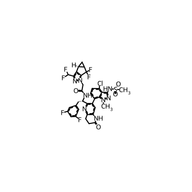 Cn1nc(NS(C)(=O)=O)c2c(Cl)ccc(-c3cc4c(nc3[C@H](Cc3cc(F)cc(F)c3)NC(=O)Cn3nc(C(F)F)c5c3C(F)(F)C3C[C@H]53)CCC(=O)N4)c21